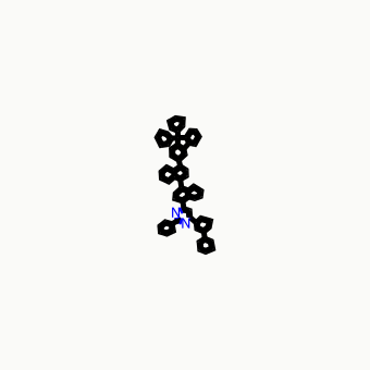 c1ccc(-c2cccc(-c3cc(-c4ccc(-c5ccc(-c6ccc7c(c6)-c6ccccc6C7(c6ccccc6)c6ccccc6)c6ccccc56)c5ccccc45)nc(-c4ccccc4)n3)c2)cc1